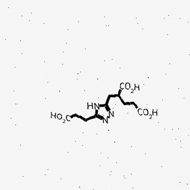 O=C(O)CCc1nnc(CC(CCC(=O)O)C(=O)O)[nH]1